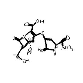 C[C@@H](O)C1C(=O)N2C(C(=O)O)=C(SC3C[C@@H](C(N)=O)NC3=N)C[C@@H]12